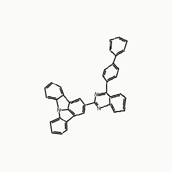 c1ccc(-c2ccc(-c3nc(-c4cc5c6ccccc6n6c7ccccc7c(c4)c56)nc4ccccc34)cc2)cc1